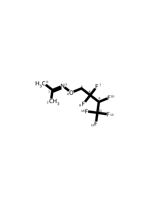 CC(C)=NOCC(F)(F)C(F)C(F)(F)F